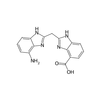 Nc1cccc2[nH]c(Cc3nc4c(C(=O)O)cccc4[nH]3)nc12